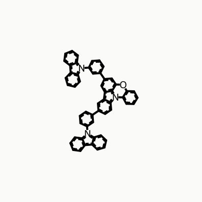 c1cc(-c2ccc3c(c2)c2cc(-c4cccc(-n5c6ccccc6c6ccccc65)c4)cc4c2n3-c2ccccc2O4)cc(-n2c3ccccc3c3ccccc32)c1